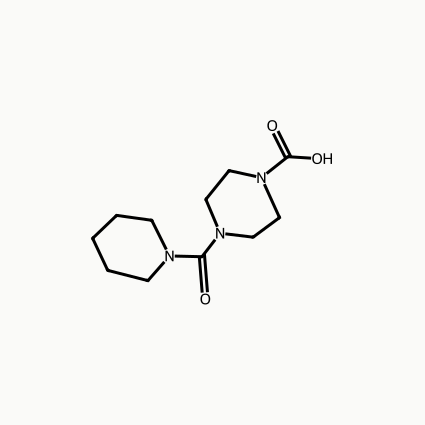 O=C(O)N1CCN(C(=O)N2CCCCC2)CC1